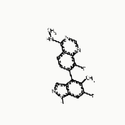 CNc1ncnc2c(F)c(-c3c(C)c(F)cc4[nH]ncc34)ccc12